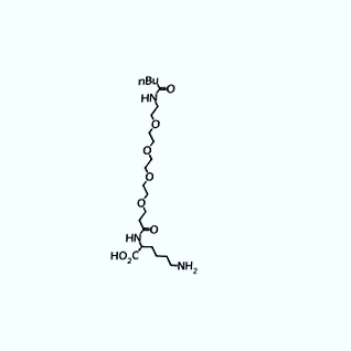 CCCCC(=O)NCCOCCOCCOCCOCCC(=O)N[C@@H](CCCCN)C(=O)O